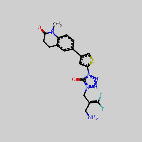 CN1C(=O)CCc2cc(-c3csc(-n4nnn(CC(CN)=C(F)F)c4=O)c3)ccc21